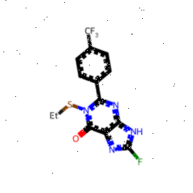 CCSn1c(-c2ccc(C(F)(F)F)cc2)nc2[nH]c(F)nc2c1=O